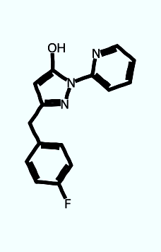 Oc1cc(Cc2ccc(F)cc2)nn1-c1ccccn1